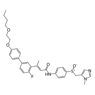 CCCCOCCOc1ccc(-c2ccc(F)c(/C(C)=C/C(=O)Nc3ccc([S@@+]([O-])Cc4cncn4C)cc3)c2)cc1